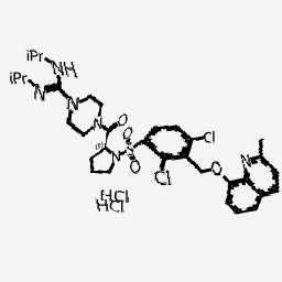 Cc1ccc2cccc(OCc3c(Cl)ccc(S(=O)(=O)N4CCC[C@H]4C(=O)N4CCN(C(=NC(C)C)NC(C)C)CC4)c3Cl)c2n1.Cl.Cl